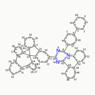 c1ccc(-c2ccc(-c3nc(-c4ccc5c(c4)-c4ccccc4C54c5ccccc5-c5ccccc5-c5ccccc54)nc(-c4ccccc4-c4ccccc4)n3)cc2)cc1